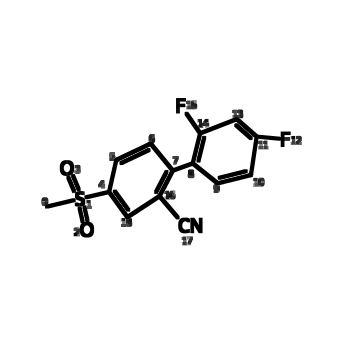 CS(=O)(=O)c1ccc(-c2ccc(F)cc2F)c(C#N)c1